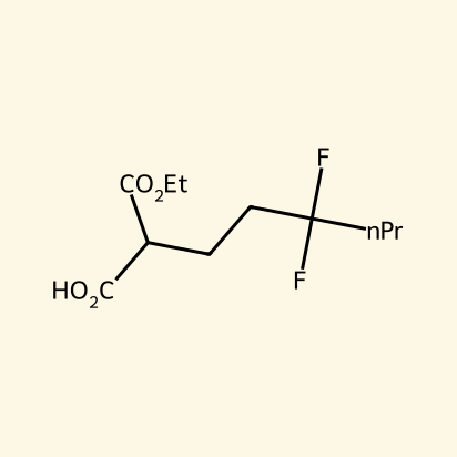 CCCC(F)(F)CCC(C(=O)O)C(=O)OCC